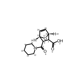 O=C(O)C1C(C(=O)N2CCCCC2)[C@@H]2C=C[C@H]1O2